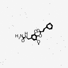 COc1cc(CNC(N)=O)cc(Cl)c1OC(=O)C=Cc1ccccc1